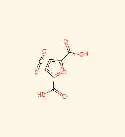 O=C(O)c1ccc(C(=O)O)o1.O=C=O